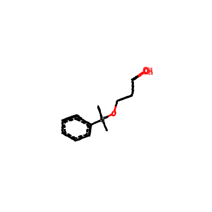 C[Si](C)(OCCCO)c1ccccc1